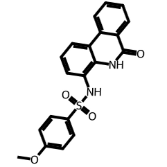 COc1ccc(S(=O)(=O)Nc2cccc3c2[nH]c(=O)c2ccccc23)cc1